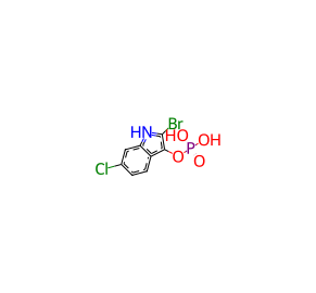 O=P(O)(O)Oc1c(Br)[nH]c2cc(Cl)ccc12